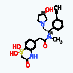 C#Cc1cccc([C@@H](CN2CC[C@H](O)C2)N(C)C(=O)Cc2ccc3c(c2)NC(=O)CS3(O)O)c1